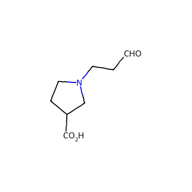 O=CCCN1CCC(C(=O)O)C1